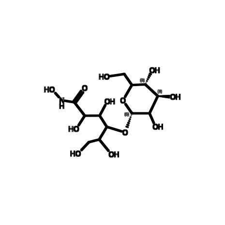 O=C(NO)C(O)C(O)C(O[C@@H]1OC(CO)[C@H](O)[C@@H](O)C1O)C(O)CO